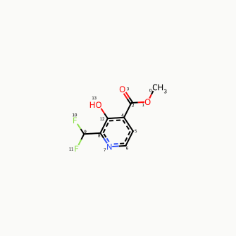 COC(=O)c1ccnc(C(F)F)c1O